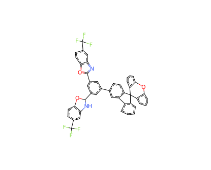 FC(F)(F)c1ccc2c(c1)NC(c1cc(-c3ccc4c(c3)-c3ccccc3C43c4ccccc4Oc4ccccc43)cc(-c3nc4cc(C(F)(F)F)ccc4o3)c1)O2